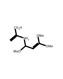 C=C([SiH2]C(C=C(OC)OC)OC)C(=O)O